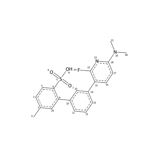 Cc1ccc(S(=O)(=O)O)c(-c2cccc(-c3ccc(N(C)C)nc3F)c2)c1